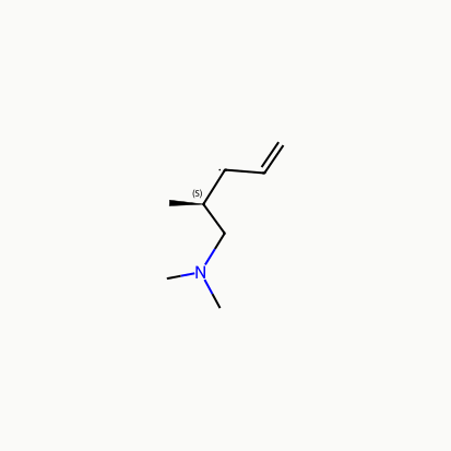 C=C[CH][C@H](C)CN(C)C